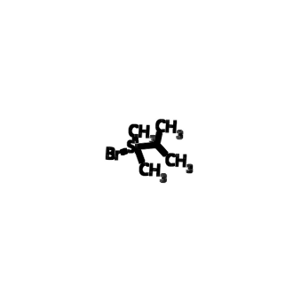 CC(C)[Si](C)(C)Br